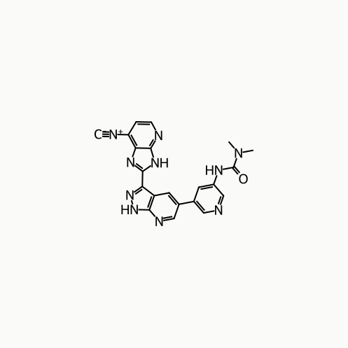 [C-]#[N+]c1ccnc2[nH]c(-c3n[nH]c4ncc(-c5cncc(NC(=O)N(C)C)c5)cc34)nc12